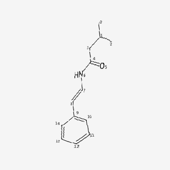 CC(C)CC(=O)NC=Cc1ccccc1